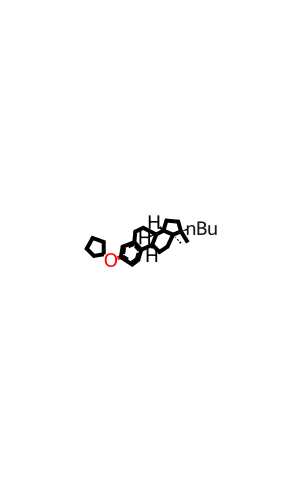 CCCC[C@@]1(C)CC[C@H]2[C@@H]3CCc4cc(OC5CCCC5)ccc4[C@H]3CC[C@@]21C